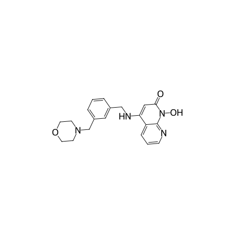 O=c1cc(NCc2cccc(CN3CCOCC3)c2)c2cccnc2n1O